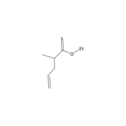 C=CCC(C)C(=S)OCC